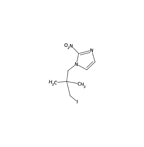 CC(C)(CI)Cn1ccnc1[N+](=O)[O-]